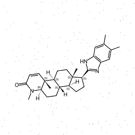 Cc1cc2nc([C@H]3CC[C@H]4[C@@H]5CC[C@H]6N(C)C(=O)C=C[C@]6(C)[C@H]5CC[C@]34C)[nH]c2cc1C